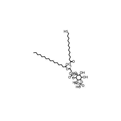 CCCCCCCCCCCCCCCC(=O)O[C@H](COC(=O)CCCCCCCCCCCCS)COP(=O)(O)OC1C(O)[C@H](O)C(O)[C@H](OP(=O)(O)O)[C@@H]1O